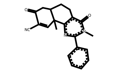 Cn1c(-c2ccccc2)nc2c(c1=O)CCC1CC(=O)C(C#N)=CC21C